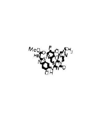 COC(=O)Nc1nc2cc(Cl)c(Nc3nc(=O)n(Cc4ncn(C)n4)c(=O)n3Cc3cc(Cl)c(F)cn3)cc2s1